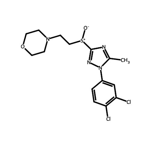 Cc1nc([S+]([O-])CCN2CCOCC2)nn1-c1ccc(Cl)c(Cl)c1